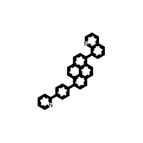 c1ccc(-c2ccc(-c3ccc4ccc5c(-c6cccc7cccnc67)ccc6ccc3c4c65)cc2)nc1